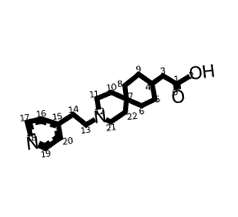 O=C(O)CC1CCC2(CC1)CCN(CCc1ccncc1)CC2